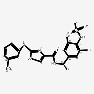 C[C@@H](NC(=O)c1coc(Oc2cccc([N+](=O)[O-])c2)n1)c1cc(F)c(NS(C)(=O)=O)c(F)c1